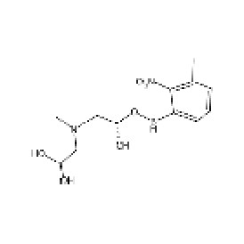 Cc1cccc(BO[C@H](O)CN(C)CC(O)O)c1[N+](=O)[O-]